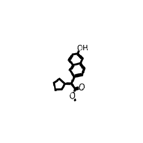 COC(=O)C(c1ccc2cc(O)ccc2c1)C1CCCC1